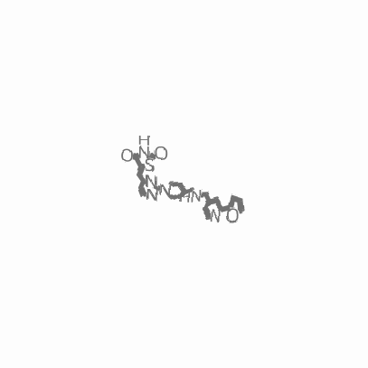 O=C1NC(=O)C(=Cc2ccnc(N3CCC(CNCc4ccnc(-c5ccco5)c4)CC3)n2)S1